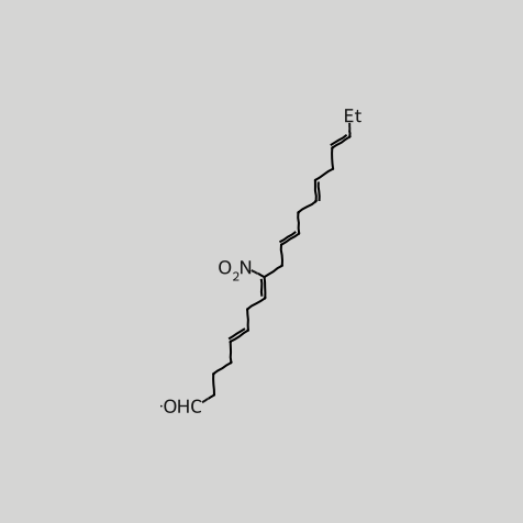 CC/C=C/C/C=C/C/C=C/C/C(=C/C/C=C/CCC[C]=O)[N+](=O)[O-]